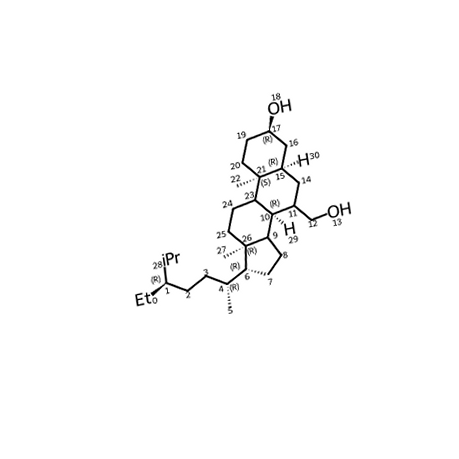 CC[C@H](CC[C@@H](C)[C@H]1CCC2[C@@H]3C(CO)C[C@@H]4C[C@H](O)CC[C@]4(C)C3CC[C@@]21C)C(C)C